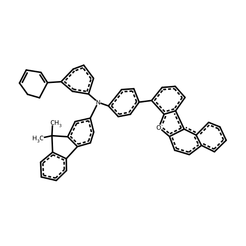 CC1(C)c2ccccc2-c2ccc(N(c3ccc(-c4cccc5c4oc4ccc6ccccc6c45)cc3)c3cccc(C4=CC=CCC4)c3)cc21